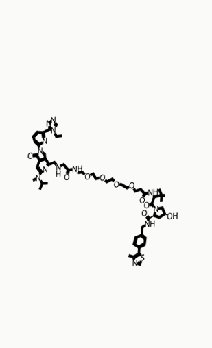 CCn1cnnc1-c1cccc(N2Cc3c(cc(N(C)C(C)C)nc3CNCC(=O)NCCOCCOCCOCCOCCC(=O)N[C@H](C(=O)N3C[C@H](O)C[C@H]3C(=O)NCc3ccc(-c4scnc4C)cc3)C(C)(C)C)C2=O)n1